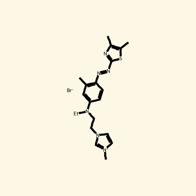 CCN(CCn1cc[n+](C)c1)c1ccc(N=Nc2nc(C)c(C)s2)c(C)c1.[Br-]